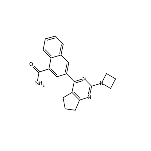 NC(=O)c1cc(-c2nc(N3CCC3)nc3c2CCC3)cc2ccccc12